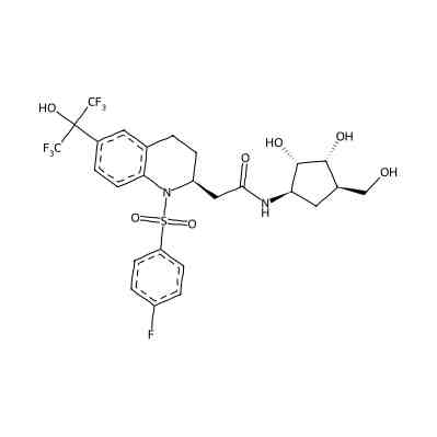 O=C(C[C@@H]1CCc2cc(C(O)(C(F)(F)F)C(F)(F)F)ccc2N1S(=O)(=O)c1ccc(F)cc1)N[C@@H]1C[C@H](CO)[C@@H](O)[C@H]1O